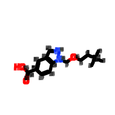 C[Si](C)(C)CCOCn1ncc2cc(C(=O)O)ccc21